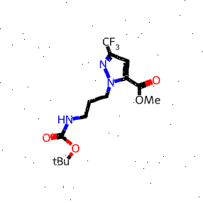 COC(=O)c1cc(C(F)(F)F)nn1CCCNC(=O)OC(C)(C)C